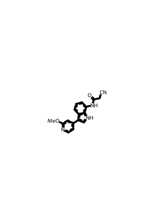 COc1cc(-c2c[nH]c3c(NC(=O)CC#N)cccc23)ccn1